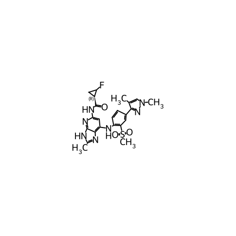 Cc1nc2c(Nc3ccc(-c4nn(C)cc4C)cc3S(C)(=O)=O)cc(NC(=O)[C@H]3CC3F)nc2[nH]1